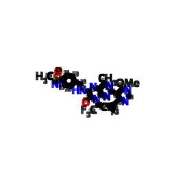 COc1ncnc(C2CC2)c1-c1nc(C)c2nc(NCc3ccc(S(C)(=N)=O)cc3)c(=O)n([C@@H](C)C(F)(F)F)c2n1